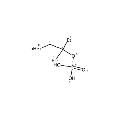 CCCCCCCC(CC)(CC)OP(=O)(O)O